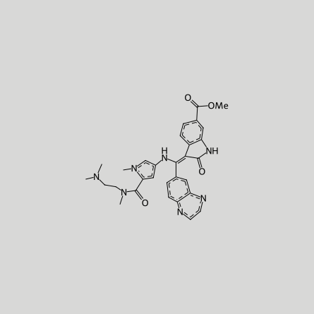 COC(=O)c1ccc2c(c1)NC(=O)C2=C(Nc1cc(C(=O)N(C)CCN(C)C)n(C)c1)c1ccc2nccnc2c1